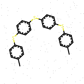 Cc1ccc(Sc2ccc(Sc3ccc(Sc4ccc(C)cc4)cc3)cc2)cc1